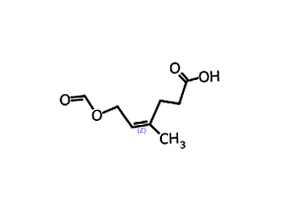 C/C(=C/COC=O)CCC(=O)O